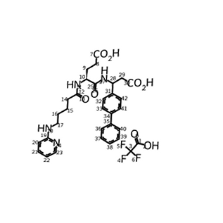 O=C(O)C(F)(F)F.O=C(O)CC[C@H](NC(=O)CCCCNc1ccccn1)C(=O)NC(CC(=O)O)c1ccc(-c2ccccc2)cc1